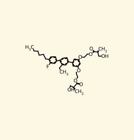 C=C(CO)C(=O)OCCOc1cc(OCCOC(=O)C(=C)CO)cc(-c2ccc(-c3ccc(CCCCCC)c(F)c3)c(CC)c2)c1